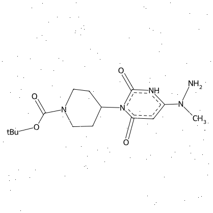 CN(N)c1cc(=O)n(C2CCN(C(=O)OC(C)(C)C)CC2)c(=O)[nH]1